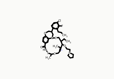 CCCc1c(C2COc3ccc4cc3N(CCC(CC)C(OCCN3CCCC3)/C(C)=C/CCC(C)SNC4=O)C2)ccc(Cl)c1F